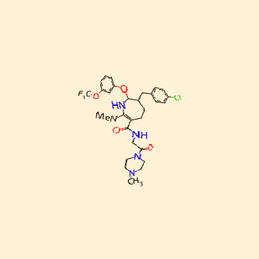 CNC1=C(C(=O)NCC(=O)N2CCN(C)CC2)CCC(Cc2ccc(Cl)cc2)C(Oc2cccc(OC(F)(F)F)c2)N1